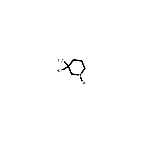 CC1(C)CCCN(O)C1